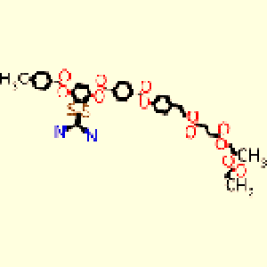 C=CC(=O)OC(C)COC(=O)CCC(=O)OCCc1ccc(OC(=O)[C@H]2CC[C@H](C(=O)Oc3ccc(OC(=O)[C@H]4CC[C@H](C)CC4)c4c3SC(=C(C#N)C#N)S4)CC2)cc1